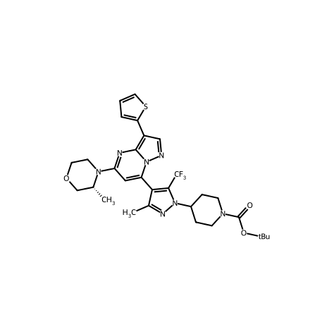 Cc1nn(C2CCN(C(=O)OC(C)(C)C)CC2)c(C(F)(F)F)c1-c1cc(N2CCOC[C@H]2C)nc2c(-c3cccs3)cnn12